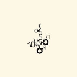 CCCC(=O)OCOC(=O)N1C(N2CCN(C)CC2)=c2ccccc2=Nc2ccc(Cl)cc21